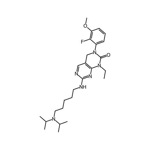 CCN1C(=O)N(c2cccc(OC)c2F)Cc2cnc(NCCCCCN(C(C)C)C(C)C)nc21